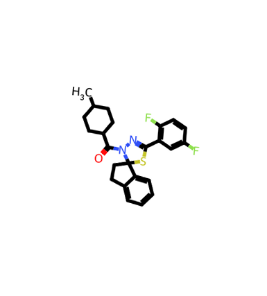 CC1CCC(C(=O)N2N=C(c3cc(F)ccc3F)SC23CCc2ccccc23)CC1